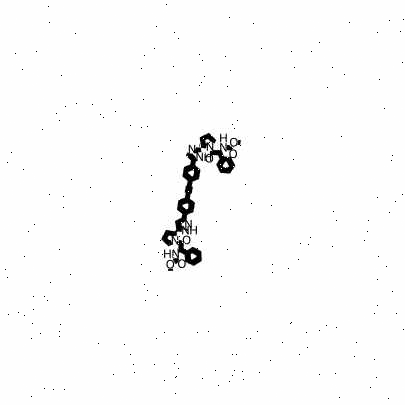 COC(=O)N[C@@H](C(=O)N1CCC[C@H]1c1cc(-c2ccc(C#Cc3ccc(-c4cnc([C@@H]5CCCN5C(=O)[C@H](NC(=O)OC)c5ccccc5)[nH]4)cc3)cc2)n[nH]1)c1ccccc1